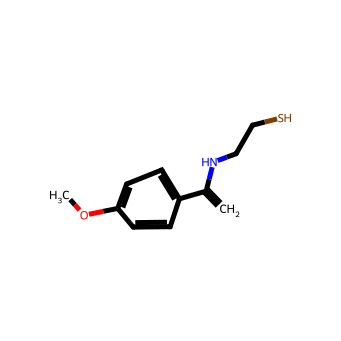 C=C(NCCS)c1ccc(OC)cc1